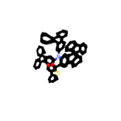 c1ccc2c(c1)-c1ccc(N(c3ccc4c5ccccc5c5ccccc5c4c3)c3cc4c(cc3-c3cccc5c3sc3ccccc35)-c3ccccc3C43c4ccccc4-c4ccccc43)cc1C21CCCCC1